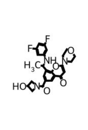 CC(Nc1cc(F)cc(F)c1)c1cc(C(=O)N2CC(O)C2)cc2c(=O)cc(N3CCOCC3)oc12